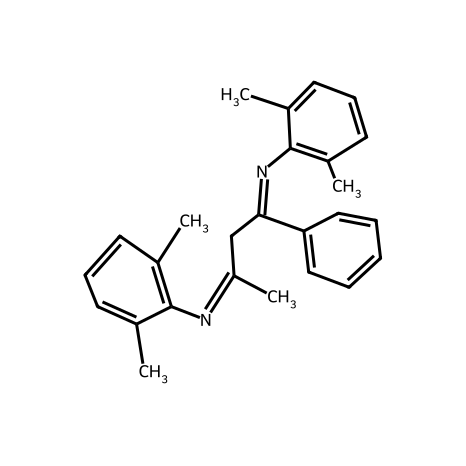 C/C(C/C(=N/c1c(C)cccc1C)c1ccccc1)=N/c1c(C)cccc1C